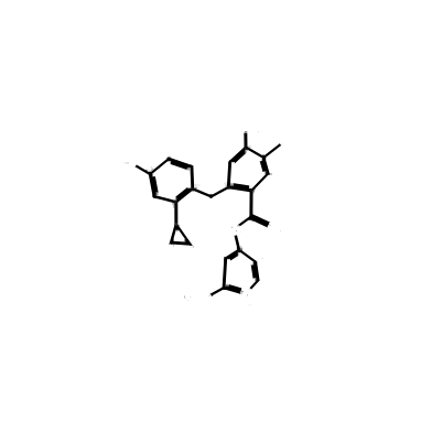 COc1cc(NC(=O)c2cc(Cl)c(C(F)(F)F)cc2Cc2ccc(F)cc2C2CC2)ccn1